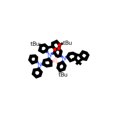 Cc1cc2c3c(c1)N(c1ccc(C(C)(C)C)cc1-c1ccc(C(C)(C)C)cc1)c1cc(N(c4ccccc4)c4ccccc4)ccc1B3c1cc(C(C)(C)C)ccc1N2c1ccc2c(c1)C(C)(C)c1ccccc1-2